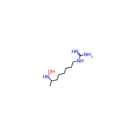 CC(CCCCCCNC(=N)N)NO